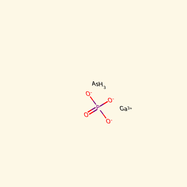 O=P([O-])([O-])[O-].[AsH3].[Ga+3]